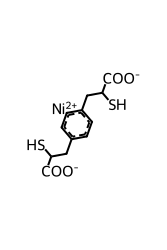 O=C([O-])C(S)Cc1ccc(CC(S)C(=O)[O-])cc1.[Ni+2]